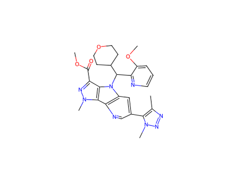 COC(=O)c1nn(C)c2c3ncc(-c4c(C)nnn4C)cc3n(C(c3ncccc3OC)C3CCOCC3)c12